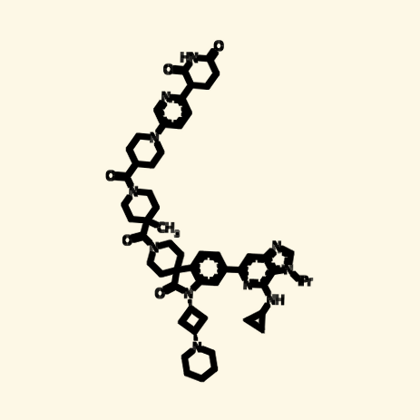 CC(C)n1cnc2cc(-c3ccc4c(c3)N([C@H]3C[C@@H](N5CCCCC5)C3)C(=O)C43CCN(C(=O)C4(C)CCN(C(=O)C5CCN(c6ccc(C7CCC(=O)NC7=O)nc6)CC5)CC4)CC3)nc(NC3CC3)c21